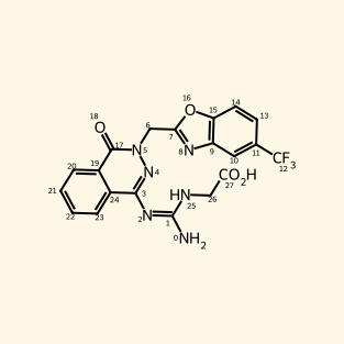 NC(=Nc1nn(Cc2nc3cc(C(F)(F)F)ccc3o2)c(=O)c2ccccc12)NCC(=O)O